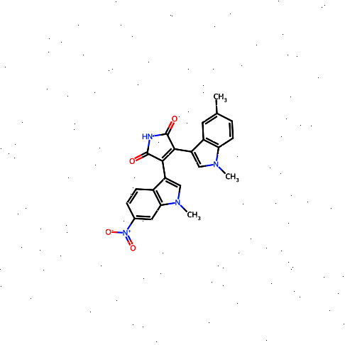 Cc1ccc2c(c1)c(C1=C(c3cn(C)c4cc([N+](=O)[O-])ccc34)C(=O)NC1=O)cn2C